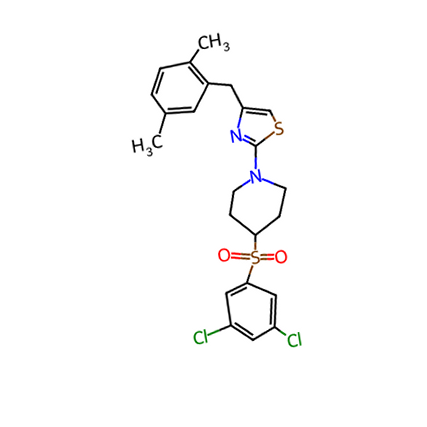 Cc1ccc(C)c(Cc2csc(N3CCC(S(=O)(=O)c4cc(Cl)cc(Cl)c4)CC3)n2)c1